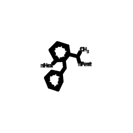 CCCCCCc1cccc([C](C)CCCCC)c1Cc1ccccc1